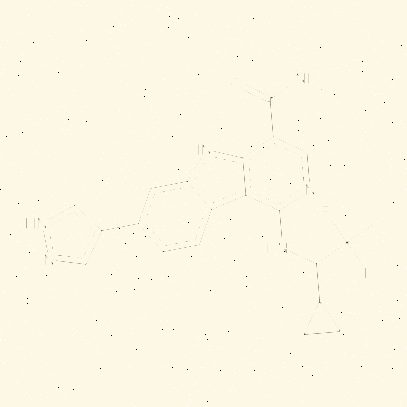 NC(=O)c1cnc(NC(C2CC2)C(F)(F)F)c2c1[nH]c1cc(-c3cn[nH]c3)ccc12